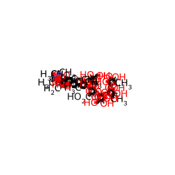 C=C[C@H]1CC2[C@@]3([C@H](O)C[C@]4(C)[C@@]2(CCC2[C@@]5(C)CC[C@H](O[C@@H]6OC(C(=O)O)[C@@H](O)C(O[C@@H]7OC(CO)[C@H](O)C(O)C7O[C@@H]7OC(C)[C@H](O)C(O)C7O[C@@H]7OC(C)[C@H](O)C(O)C7O)C6O[C@@H]6OC(CO)[C@H](O)C(O)C6O)C(C)(C)C5CC[C@]24C)O[C@@H]3O)[C@@H](OC(=O)/C(C)=C\C)[C@@H]1OC(=O)/C(C)=C\C